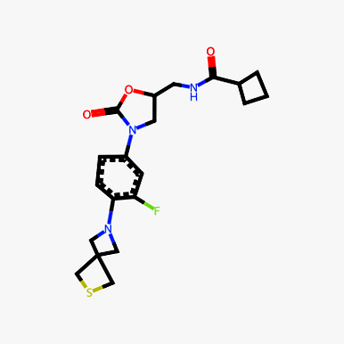 O=C(NCC1CN(c2ccc(N3CC4(CSC4)C3)c(F)c2)C(=O)O1)C1CCC1